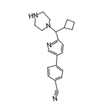 N#Cc1ccc(-c2ccc(C(C3CCC3)N3CCNCC3)nc2)cc1